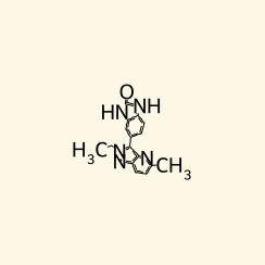 CCn1nc2ccc(C)nc2c1-c1ccc2[nH]c(=O)[nH]c2c1